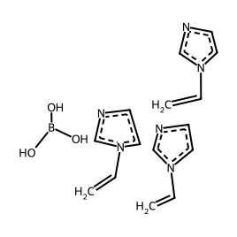 C=Cn1ccnc1.C=Cn1ccnc1.C=Cn1ccnc1.OB(O)O